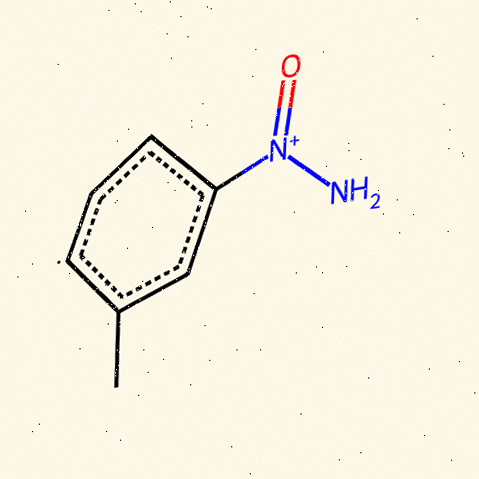 Cc1[c]ccc([N+](N)=O)c1